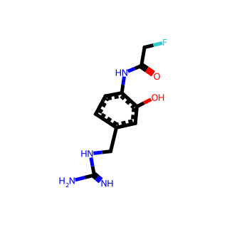 N=C(N)NCc1ccc(NC(=O)CF)c(O)c1